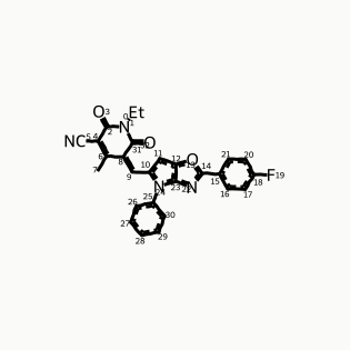 CCN1C(=O)C(C#N)=C(C)/C(=C/c2cc3oc(-c4ccc(F)cc4)nc3n2-c2ccccc2)C1=O